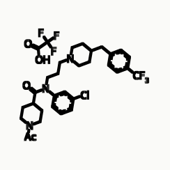 CC(=O)N1CCC(C(=O)N(CCCN2CCC(Cc3ccc(C(F)(F)F)cc3)CC2)c2cccc(Cl)c2)CC1.O=C(O)C(F)(F)F